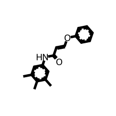 Cc1cc(NC(=O)C=COc2ccccc2)cc(C)c1C